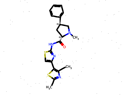 Cc1nc(C)c(-c2csc(NC(=O)[C@@H]3C[C@@H](c4ccccc4)CN3C)n2)s1